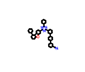 N#Cc1cccc(-c2ccc(-c3cccc(-c4nc(-c5ccccc5)nc(-c5ccc6c(c5)oc5cccc(-c7ccccc7)c56)n4)c3)cc2)c1